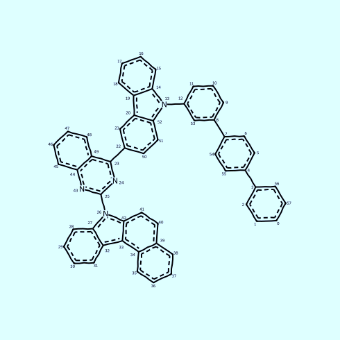 c1ccc(-c2ccc(-c3cccc(-n4c5ccccc5c5cc(-c6nc(-n7c8ccccc8c8c9ccccc9ccc87)nc7ccccc67)ccc54)c3)cc2)cc1